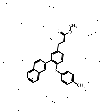 COC(=O)CCc1ccc(Sc2ccc(C)cc2)c(-c2ccc3ccccc3c2)c1